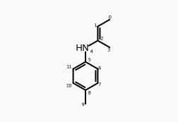 C/C=C(\C)Nc1ccc(C)cc1